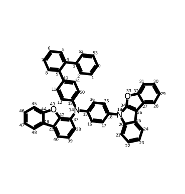 c1ccc(-c2ccccc2-c2ccc(N(c3ccc(-n4c5ccccc5c5c6ccccc6oc54)cc3)c3cccc4c3oc3ccccc34)cc2)cc1